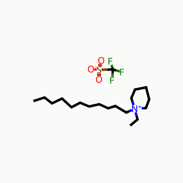 CCCCCCCCCCC[N+]1(CC)CCCCC1.O=S(=O)([O-])C(F)(F)F